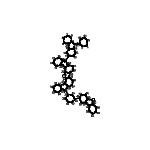 c1ccc(-n2c3ccccc3c3cc(-n4c5ccccc5c5c6oc7c(ccc8c7c7ccccc7n8-c7cccc(-c8ccc9oc%10ccccc%10c9c8)c7)c6ccc54)ccc32)cc1